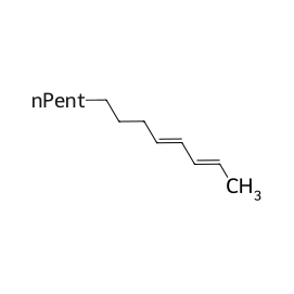 [CH2]CCCCCCCC=CC=CC